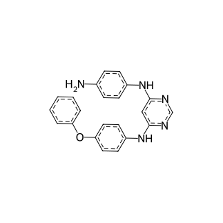 Nc1ccc(Nc2cc(Nc3ccc(Oc4ccccc4)cc3)ncn2)cc1